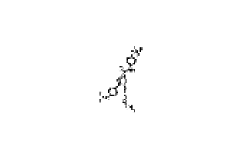 COCCCC1CN(C(=O)Nc2ccc(OC(F)(F)F)cc2)N=C1c1ccc(OC(F)F)cc1